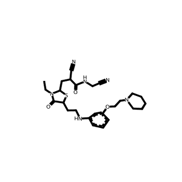 CCN1C(=O)C(CCNc2cccc(OCCN3CCCCC3)c2)SC1CC(C#N)C(=O)NCC#N